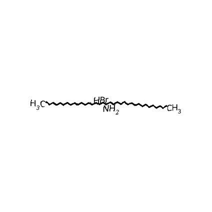 Br.CCCCCCCCCCCCCCCCCCC(N)CCCCCCCCCCCCCCCCCC